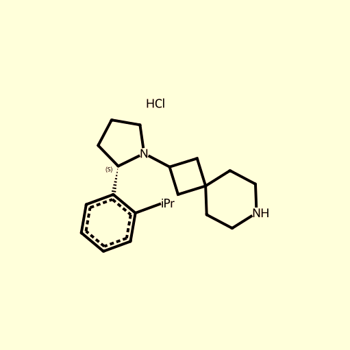 CC(C)c1ccccc1[C@@H]1CCCN1C1CC2(CCNCC2)C1.Cl